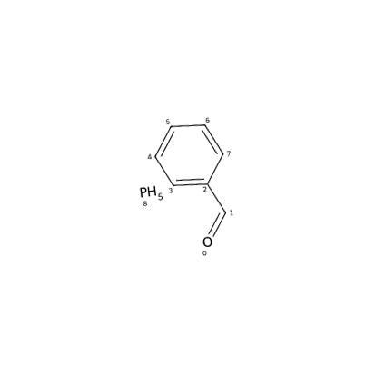 O=Cc1ccccc1.[PH5]